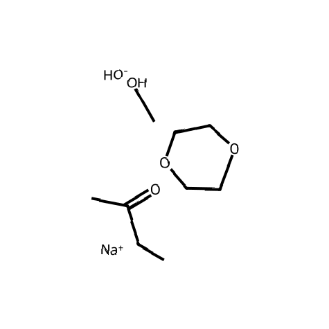 C1COCCO1.CCC(C)=O.CO.[Na+].[OH-]